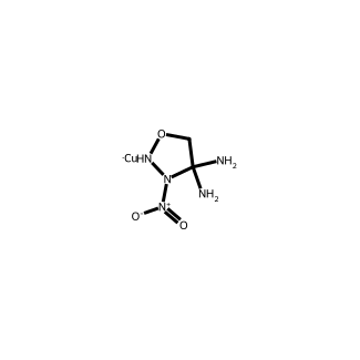 NC1(N)CONN1[N+](=O)[O-].[Cu]